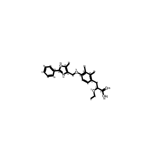 CCOC(Cc1ccc(OCc2nc(-c3ccccc3)oc2C)c(C)c1C)C(=O)O